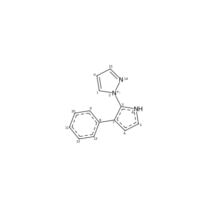 C1=C[N+](c2[nH]ccc2-c2ccccc2)N=C1